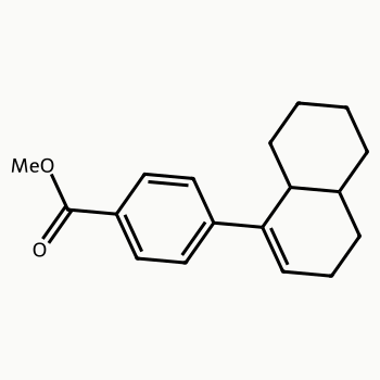 COC(=O)c1ccc(C2=CCCC3CCCCC23)cc1